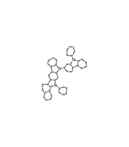 c1ccc(-n2c3ccccc3c3ccc(-n4c5ccccc5c5cc6c7ccc8ccccc8c7n(-c7ccccc7)c6cc54)cc32)cc1